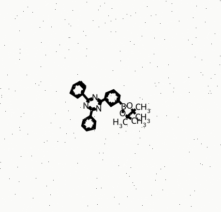 CC1(C)OB(c2cccc(-c3nc(-c4c#cccc4)nc(-c4ccccc4)n3)c2)OC1(C)C